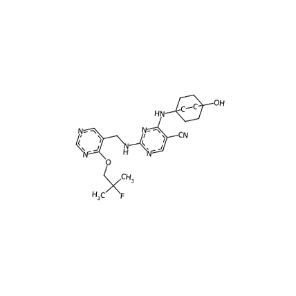 CC(C)(F)COc1ncncc1CNc1ncc(C#N)c(NC23CCC(O)(CC2)CC3)n1